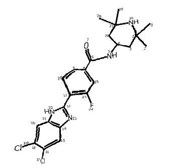 CC1(C)CC(NC(=O)c2ccc(-c3nc4cc(Cl)c(Cl)cc4[nH]3)c(F)c2)CC(C)(C)N1